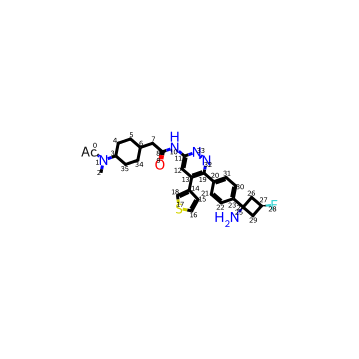 CC(=O)N(C)C1CCC(CC(=O)Nc2cc(-c3ccsc3)c(-c3ccc([C@]4(N)C[C@@H](F)C4)cc3)nn2)CC1